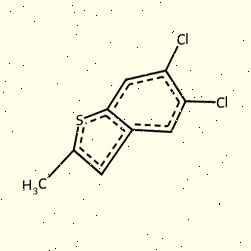 Cc1cc2cc(Cl)c(Cl)cc2s1